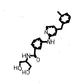 Cc1cccc(Cc2ccnc(Nc3cccc(C(=O)NC(CO)CO)c3)c2)c1